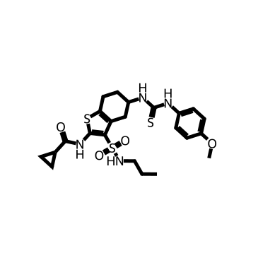 CCCNS(=O)(=O)c1c(NC(=O)C2CC2)sc2c1CC(NC(=S)Nc1ccc(OC)cc1)CC2